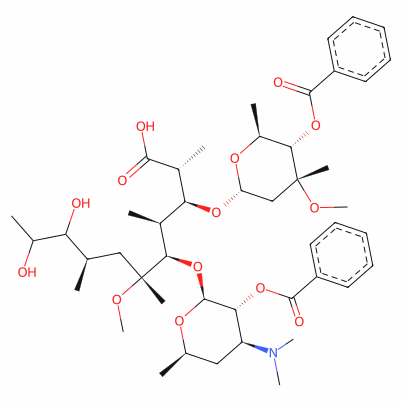 CO[C@](C)(C[C@@H](C)C(O)C(C)O)[C@H](O[C@@H]1O[C@H](C)C[C@H](N(C)C)[C@H]1OC(=O)c1ccccc1)[C@@H](C)[C@H](O[C@H]1C[C@@](C)(OC)[C@@H](OC(=O)c2ccccc2)[C@H](C)O1)[C@@H](C)C(=O)O